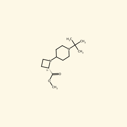 COC(=O)[C@@H]1CCN1C1CCN(C(C)(C)C)CC1